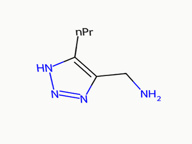 CCCc1[nH]nnc1CN